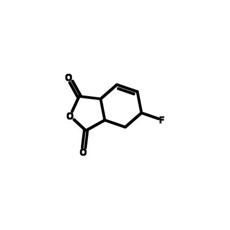 O=C1OC(=O)C2CC(F)C=CC12